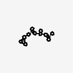 c1ccc(-n2c3ccccc3c3cc(-c4ccc(-c5ccc6c(c5)c5ccccc5n6-c5ccc(-c6ccc7c8cccc9c%10ccccc%10n(c7c6)c98)cc5)c5ccccc45)ccc32)cc1